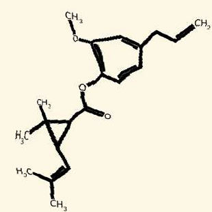 C=CCc1ccc(OC(=O)C2C(C=C(C)C)C2(C)C)c(OC)c1